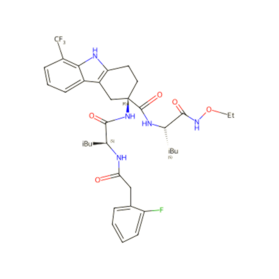 CCONC(=O)C(NC(=O)[C@@]1(NC(=O)[C@@H](NC(=O)Cc2ccccc2F)C(C)CC)CCc2[nH]c3c(C(F)(F)F)cccc3c2C1)[C@@H](C)CC